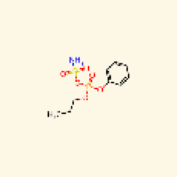 CCCOP(=O)(Oc1ccccc1)OS(N)(=O)=O